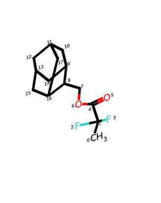 CC(F)(F)C(=O)OCC1C2CC3CC(C2)CC1C3